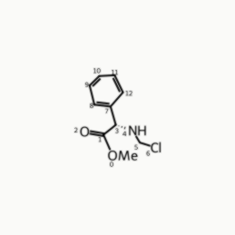 COC(=O)[C@@H](NCCl)c1ccccc1